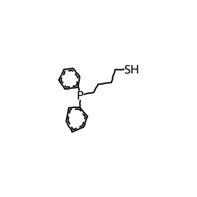 SCCCCP(c1ccccc1)c1ccccc1